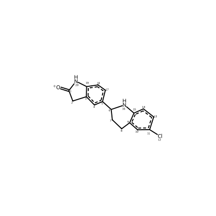 O=C1Cc2cc(C3CCc4cc(Cl)ccc4N3)ccc2N1